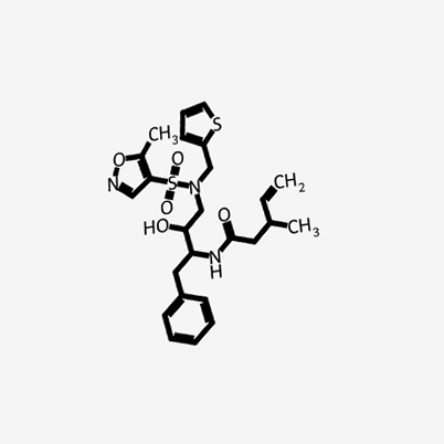 C=CC(C)CC(=O)NC(Cc1ccccc1)C(O)CN(Cc1cccs1)S(=O)(=O)c1cnoc1C